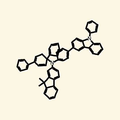 CC1(C)c2ccccc2-c2ccc(N(c3ccc(-c4ccc5c(c4)c4ccccc4n5-c4ccccc4)cc3)C3(c4ccccc4)C=CC(c4ccccc4)=CC3)cc21